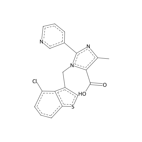 Cc1nc(-c2cccnc2)n(Cc2csc3cccc(Cl)c23)c1C(=O)O